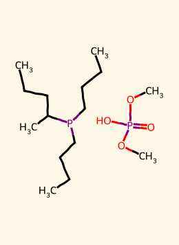 CCCCP(CCCC)C(C)CCC.COP(=O)(O)OC